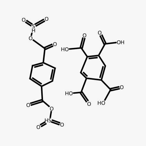 O=C(O)c1cc(C(=O)O)c(C(=O)O)cc1C(=O)O.O=C(O[SH](=O)=O)c1ccc(C(=O)O[SH](=O)=O)cc1